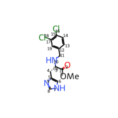 COC(=O)[C@H](Cc1c[nH]cn1)NCc1ccc(Cl)c(Cl)c1